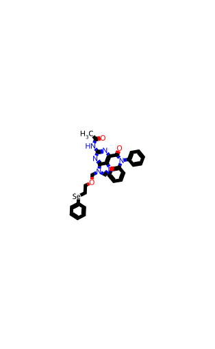 CC(=O)Nc1nc(C(=O)N(c2ccccc2)c2ccccc2)c2ncn(COCC[Se]c3ccccc3)c2n1